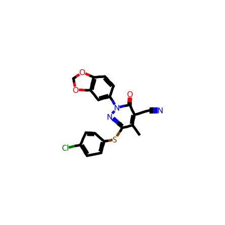 Cc1c(Sc2ccc(Cl)cc2)nn(-c2ccc3c(c2)OCO3)c(=O)c1C#N